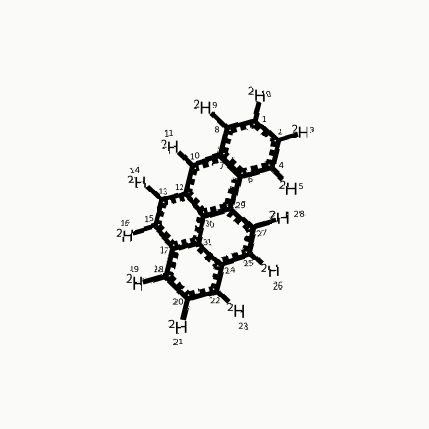 [2H]c1c([2H])c([2H])c2c(c1[2H])c([2H])c1c([2H])c([2H])c3c([2H])c([2H])c([2H])c4c([2H])c([2H])c2c1c34